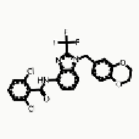 O=C(Nc1cccc2c1nc(C(F)(F)F)n2Cc1ccc2c(c1)OCCO2)c1c(Cl)cccc1Cl